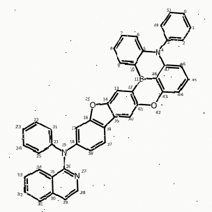 c1ccc(N2c3ccccc3B3c4cc5oc6cc(N(c7ccccc7)c7nccc8ccccc78)ccc6c5cc4Oc4cccc2c43)cc1